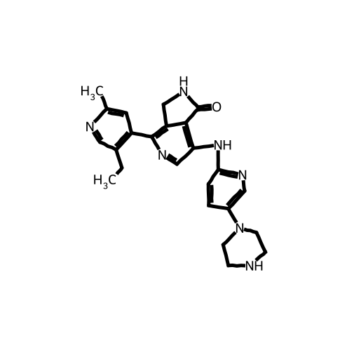 CCc1cnc(C)cc1-c1ncc(Nc2ccc(N3CCNCC3)cn2)c2c1CNC2=O